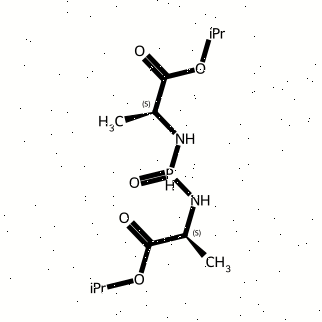 CC(C)OC(=O)[C@H](C)N[PH](=O)N[C@@H](C)C(=O)OC(C)C